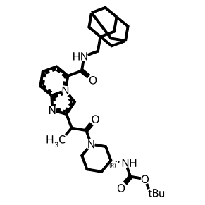 CC(C(=O)N1CCC[C@@H](NC(=O)OC(C)(C)C)C1)c1cn2c(C(=O)NCC34CC5CC(CC(C5)C3)C4)cccc2n1